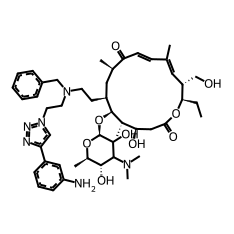 CC[C@H]1OC(=O)C[C@@H](O)[C@H](C)[C@@H](O[C@@H]2O[C@H](C)[C@@H](O)C(N(C)C)C2O)[C@@H](CCN(CCn2cc(-c3cccc(N)c3)nn2)Cc2ccccc2)C[C@@H](C)C(=O)/C=C/C(C)=C/[C@@H]1CO